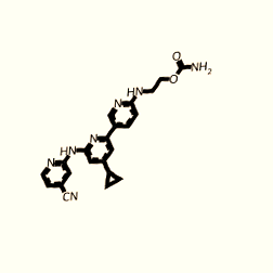 N#Cc1ccnc(Nc2cc(C3CC3)cc(-c3ccc(NCCOC(N)=O)nc3)n2)c1